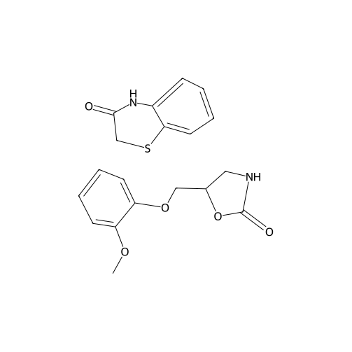 COc1ccccc1OCC1CNC(=O)O1.O=C1CSc2ccccc2N1